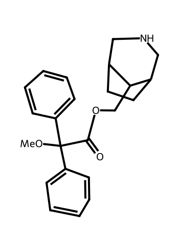 COC(C(=O)OCC1C2CCC1CNC2)(c1ccccc1)c1ccccc1